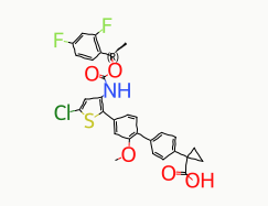 COc1cc(-c2sc(Cl)cc2NC(=O)O[C@H](C)c2ccc(F)cc2F)ccc1-c1ccc(C2(C(=O)O)CC2)cc1